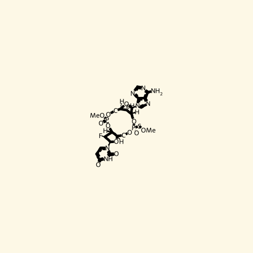 COSP1(=O)OC[C@H]2O[C@@H](n3ccc(=O)[nH]c3=O)[C@H](F)[C@@H]2OP(=O)(OC)OC[C@H]2O[C@@H](n3cnc4c(N)ncnc43)[C@H](O1)[C@@H]2F